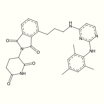 Cc1cc(C)c(Nc2nccc(NCCCc3cccc4c3C(=O)N(C3CCC(=O)NC3=O)C4=O)n2)c(C)c1